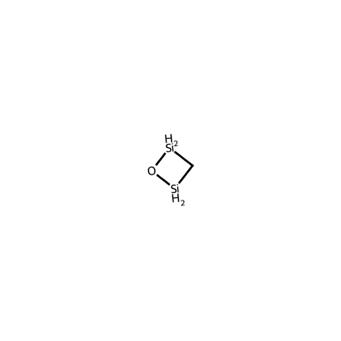 C1[SiH2]O[SiH2]1